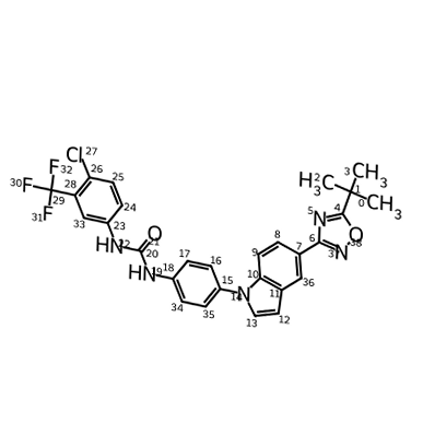 CC(C)(C)c1nc(-c2ccc3c(ccn3-c3ccc(NC(=O)Nc4ccc(Cl)c(C(F)(F)F)c4)cc3)c2)no1